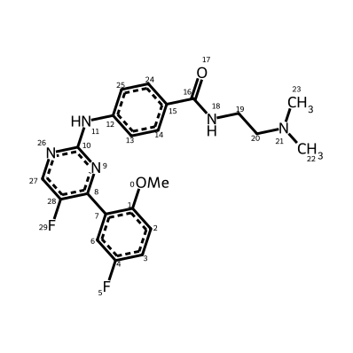 COc1ccc(F)cc1-c1nc(Nc2ccc(C(=O)NCCN(C)C)cc2)ncc1F